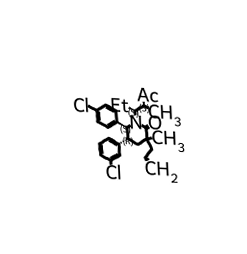 C=CCC1(C)C[C@H](c2cccc(Cl)c2)[C@@H](c2ccc(Cl)cc2)N([C@@H](CC)[C@H](C)C(C)=O)C1=O